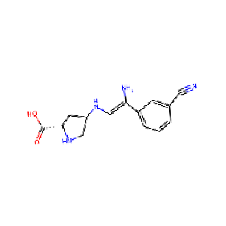 N#Cc1cccc(/C(N)=C/NC2CN[C@H](C(=O)O)C2)c1